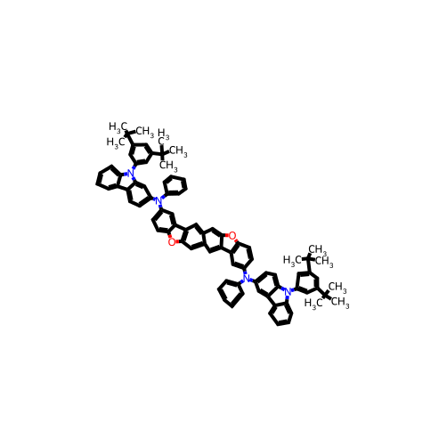 CC(C)(C)c1cc(-n2c3ccccc3c3cc(N(c4ccccc4)c4ccc5oc6cc7cc8c(cc7cc6c5c4)oc4ccc(N(c5ccccc5)c5ccc6c7ccccc7n(-c7cc(C(C)(C)C)cc(C(C)(C)C)c7)c6c5)cc48)ccc32)cc(C(C)(C)C)c1